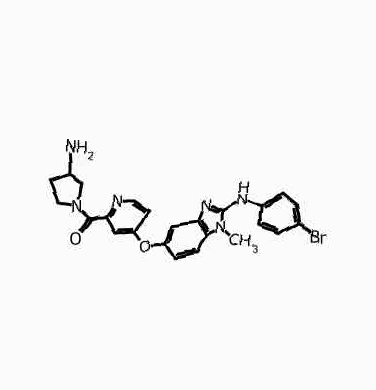 Cn1c(Nc2ccc(Br)cc2)nc2cc(Oc3ccnc(C(=O)N4CCC(N)C4)c3)ccc21